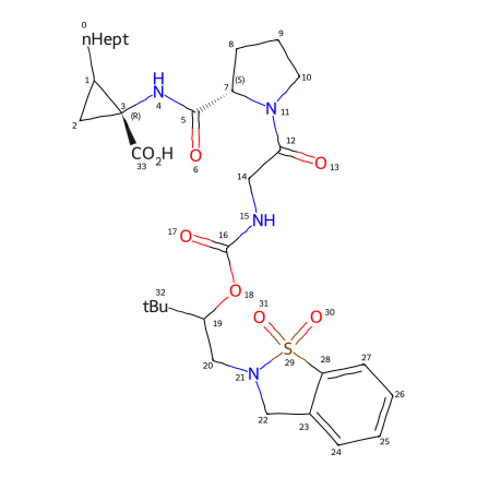 CCCCCCCC1C[C@]1(NC(=O)[C@@H]1CCCN1C(=O)CNC(=O)OC(CN1Cc2ccccc2S1(=O)=O)C(C)(C)C)C(=O)O